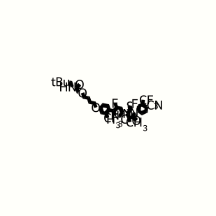 CC(C)(C)CNC(=O)COCCCCOc1ccc(-c2ncc(N3C(=S)N(c4ccc(C#N)c(C(F)(F)F)c4F)C(=O)C3(C)C)cc2F)c(C(F)(F)F)c1